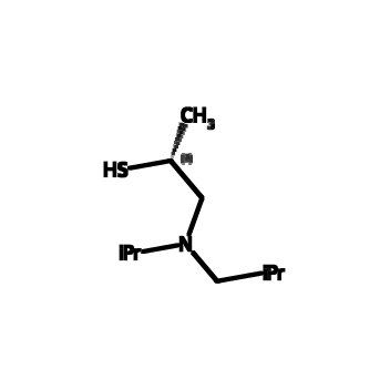 CC(C)CN(C[C@@H](C)S)C(C)C